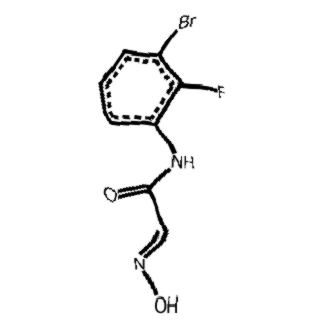 O=C(C=NO)Nc1cccc(Br)c1F